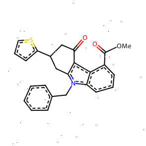 COC(=O)c1cccc2c1c1c(n2Cc2ccccc2)CC(c2cccs2)CC1=O